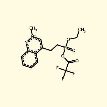 CCOP(=O)(CCc1c[n+](C)nc2ccccc12)OC(=O)C(F)(F)F